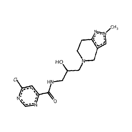 Cn1cc2c(n1)CCN(CC(O)CNC(=O)c1cc(Cl)ncn1)C2